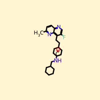 Cc1ccc2ncc(F)c(CCC34CCC(NCC5CCCCC5)(CC3)CO4)c2n1